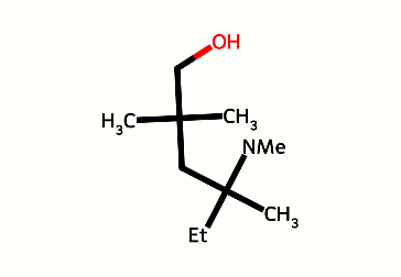 CCC(C)(CC(C)(C)CO)NC